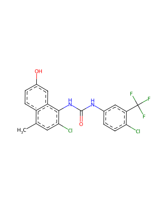 Cc1cc(Cl)c(NC(=O)Nc2ccc(Cl)c(C(F)(F)F)c2)c2cc(O)ccc12